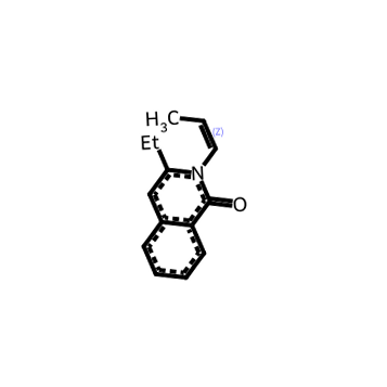 C/C=C\n1c(CC)cc2ccccc2c1=O